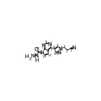 N#CCCn1cc(-c2ncnc3c2ccn3C(=O)NN)cn1